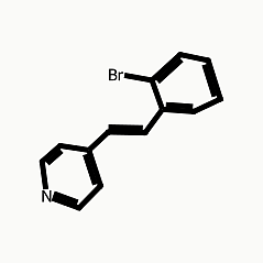 Brc1ccccc1/C=C/c1ccncc1